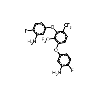 Nc1cc(Oc2ccc(C(F)(F)F)c(Oc3ccc(F)c(N)c3)c2C(F)(F)F)ccc1F